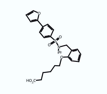 CC(C)N(Cc1ccccc1OCCCCCC(=O)O)S(=O)(=O)c1ccc(-c2ccco2)cc1